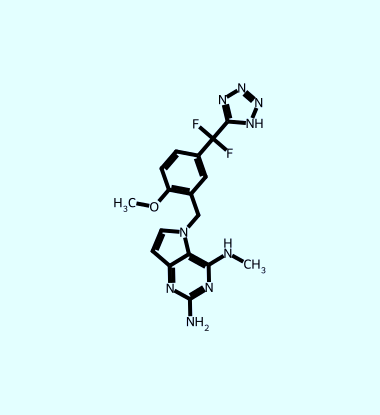 CNc1nc(N)nc2ccn(Cc3cc(C(F)(F)c4nnn[nH]4)ccc3OC)c12